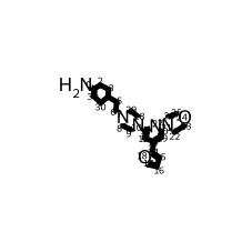 NC1CCC(CCN2CCN(c3cc(-c4ccco4)cc(N4CCOCC4)n3)CC2)CC1